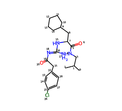 CC(C)CNC(=O)C(CC1CCCCC1)NC(N)=NC(=O)Cc1ccc(Cl)cc1